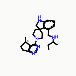 CCC(C)NCc1cccc2c1C1(CCN(c3ncnc4c3[C@H](C)CC4)CC1)CN2